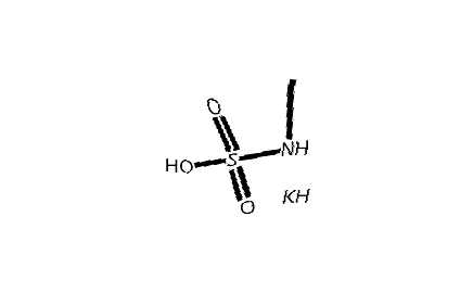 CNS(=O)(=O)O.[KH]